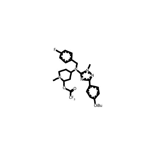 CC(C)COc1ccc(-c2nc(N(Cc3ccc(F)cc3)C3CCN(C)C(OC(=O)C(F)(F)F)C3)n(C)n2)cc1